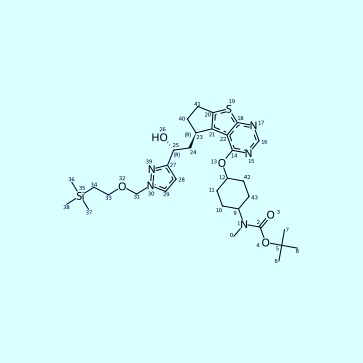 CN(C(=O)OC(C)(C)C)C1CCC(Oc2ncnc3sc4c(c23)[C@@H](C[C@@H](O)c2ccn(COCC[Si](C)(C)C)n2)CC4)CC1